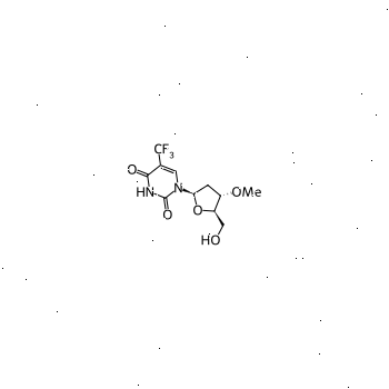 CO[C@H]1C[C@H](n2cc(C(F)(F)F)c(=O)[nH]c2=O)O[C@@H]1CO